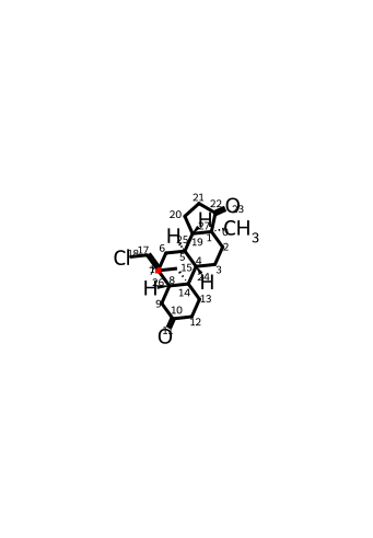 C[C@]12CC[C@H]3[C@@H](CC[C@H]4CC(=O)CC[C@@]43C/C=C/Cl)[C@@H]1CCC2=O